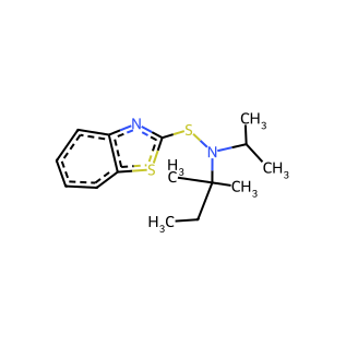 CCC(C)(C)N(Sc1nc2ccccc2s1)C(C)C